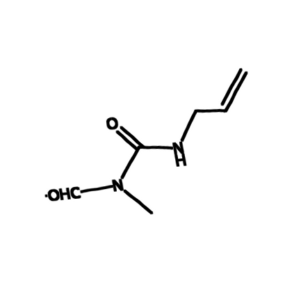 C=CCNC(=O)N(C)[C]=O